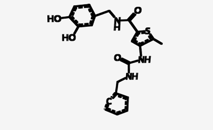 Cc1sc(C(=O)NCc2ccc(O)c(O)c2)cc1NC(=O)NCc1ccccc1